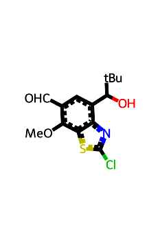 COc1c(C=O)cc(C(O)C(C)(C)C)c2nc(Cl)sc12